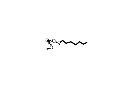 CCCCCCCSO[PH](=O)OC